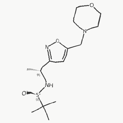 C[C@@H](N[S@+]([O-])C(C)(C)C)c1cc(CN2CCOCC2)on1